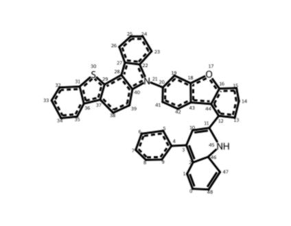 C1=CC2=C(c3ccccc3)C=C(c3cccc4oc5cc(-n6c7ccccc7c7c8sc9ccccc9c8ccc76)ccc5c34)NC2C=C1